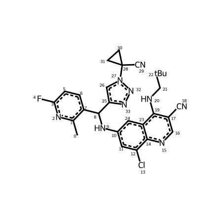 Cc1nc(F)ccc1C(Nc1cc(Cl)c2ncc(C#N)c(NCC(C)(C)C)c2c1)c1cn(C2(C#N)CC2)nn1